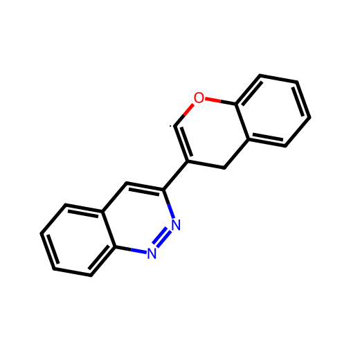 [C]1=C(c2cc3ccccc3nn2)Cc2ccccc2O1